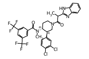 CC(C(=O)N1CC[C@@H](N(C)C(=O)c2cc(C(F)(F)F)cc(C(F)(F)F)c2)[C@H](c2ccc(Cl)c(Cl)c2)C1)c1nc2ccccc2[nH]1